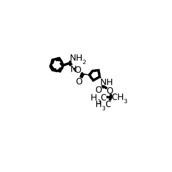 CC(C)(C)OC(=O)N[C@H]1CC[C@H](C(=O)O/N=C(\N)c2ccccc2)C1